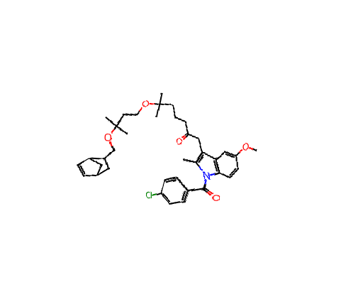 COc1ccc2c(c1)c(CC(=O)CCCC(C)(C)OCCC(C)(C)OCC1CC3C=CC1C3)c(C)n2C(=O)c1ccc(Cl)cc1